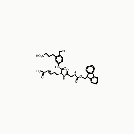 NC(=O)NCCC[C@H](NC(=O)CNC(=O)OCC1c2ccccc2-c2ccccc21)C(=O)Nc1ccc(CO)c(CCCS(=O)(=O)O)c1